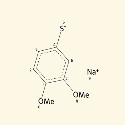 COc1ccc([S-])cc1OC.[Na+]